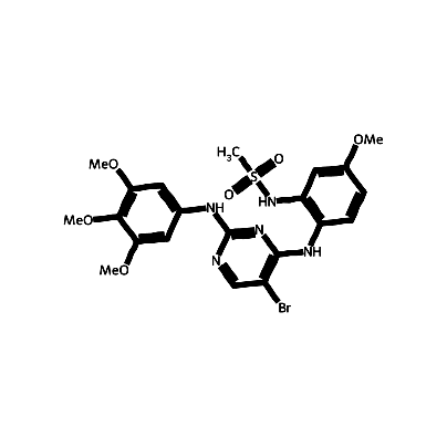 COc1ccc(Nc2nc(Nc3cc(OC)c(OC)c(OC)c3)ncc2Br)c(NS(C)(=O)=O)c1